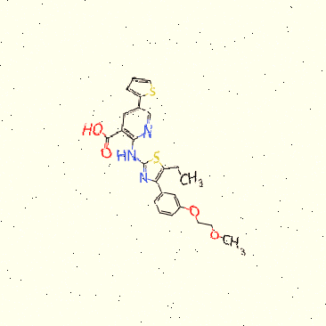 CCc1sc(Nc2ncc(-c3cccs3)cc2C(=O)O)nc1-c1cccc(OCCOC)c1